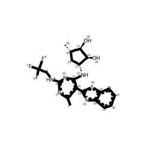 Cc1nc(NCC(F)(F)F)nc(N[C@@H]2C[C@H](C)[C@@H](O)[C@H]2O)c1-c1nc2ccccc2s1